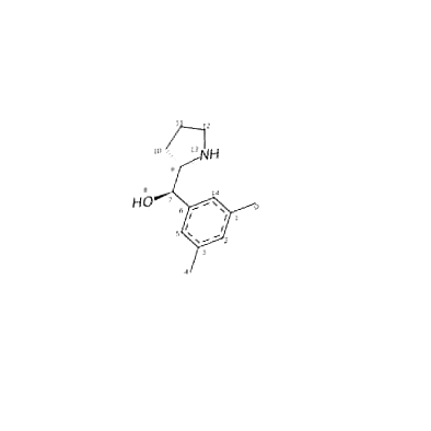 Cc1cc(C)cc([C@@H](O)[C@@H]2CCCN2)c1